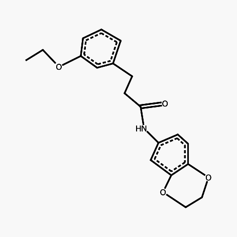 CCOc1cccc(CCC(=O)Nc2ccc3c(c2)OCCO3)c1